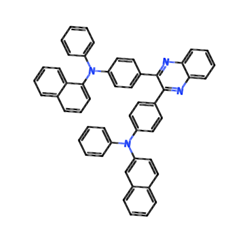 c1ccc(N(c2ccc(-c3nc4ccccc4nc3-c3ccc(N(c4ccccc4)c4cccc5ccccc45)cc3)cc2)c2ccc3ccccc3c2)cc1